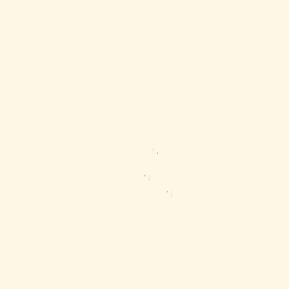 CCCC(=O)On1nnc2ccccc21